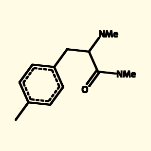 CNC(=O)C(Cc1ccc(C)cc1)NC